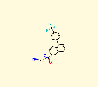 N#CCNC(=O)c1ccc2c(-c3ccc(C(F)(F)F)cc3)cccc2c1